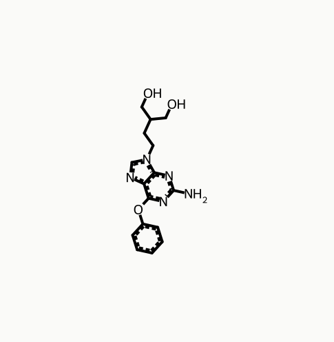 Nc1nc(Oc2ccccc2)c2ncn(CCC(CO)CO)c2n1